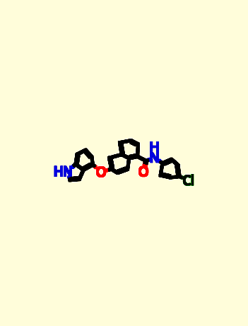 O=C(Nc1ccc(Cl)cc1)c1cccc2cc(Oc3cccc4[nH]ccc34)ccc12